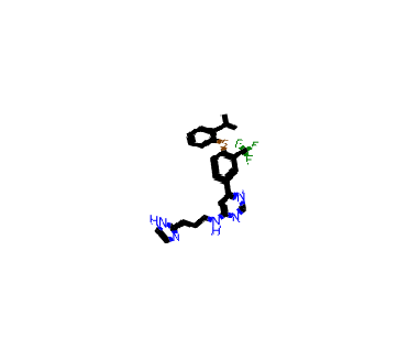 CC(C)c1ccccc1Sc1ccc(-c2cc(NCCCc3ncc[nH]3)ncn2)cc1C(F)(F)F